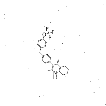 C=C1C2=C(CCCC2)NC(C)=C1c1ccc(Cc2ccc(OC(F)(F)F)cc2)cc1